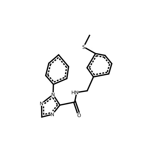 CSc1cccc(CNC(=O)c2ncnn2-c2ccccc2)c1